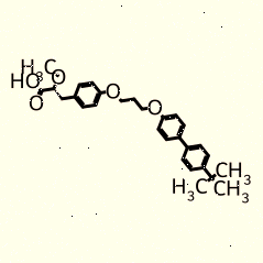 CO[C@@H](Cc1ccc(OCCCOc2ccc(-c3ccc(C(C)(C)C)cc3)cc2)cc1)C(=O)O